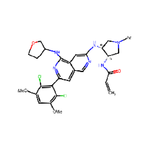 C=CC(=O)N[C@H]1CN(C(C)=O)C[C@H]1Nc1cc2c(NC3CCOC3)nc(-c3c(Cl)c(OC)cc(OC)c3Cl)cc2cn1